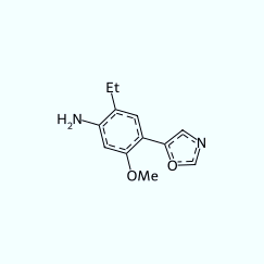 CCc1cc(-c2cnco2)c(OC)cc1N